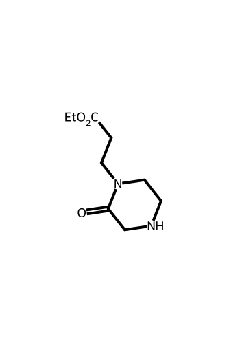 CCOC(=O)CCN1CCNCC1=O